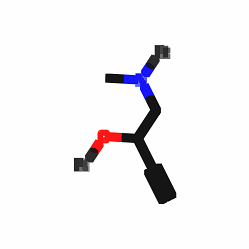 C#CC(CN(C)CC)OCC